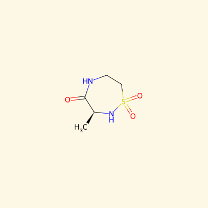 C[C@@H]1NS(=O)(=O)CCNC1=O